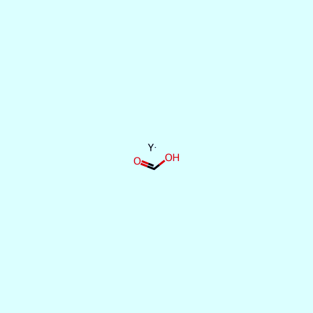 O=CO.[Y]